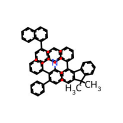 CC1(C)c2ccccc2-c2c(-c3ccccc3N(c3cccc(-c4cccc5ccccc45)c3)c3cccc(-c4ccccc4)c3-c3ccccc3-c3ccccc3)cccc21